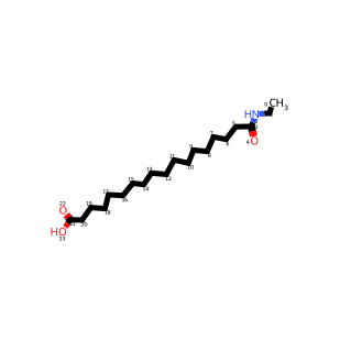 CCNC(=O)CCCCCCCCCCCCCCCCC(=O)O